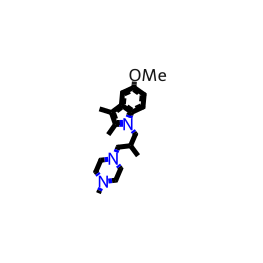 COc1ccc2c(c1)c(C)c(C)n2CC(C)CN1CCN(C)CC1